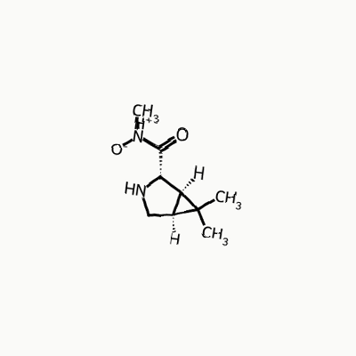 C[NH+]([O-])C(=O)[C@H]1NC[C@H]2[C@@H]1C2(C)C